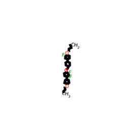 C=CCCCOc1ccc(C2CCC(COc3ccc(-c4ccc(OCCCC)cc4)c(F)c3F)CC2)cc1F